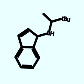 CC(BC1C=Cc2ccccc21)C(C)(C)C